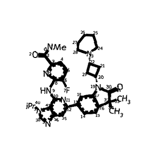 CNC(=O)c1ccc(F)c(Nc2nc(-c3ccc4c(c3)N([C@H]3C[C@@H](N5CCCCC5)C3)C(=O)C4(C)C)cc3ncn(C(C)C)c23)n1